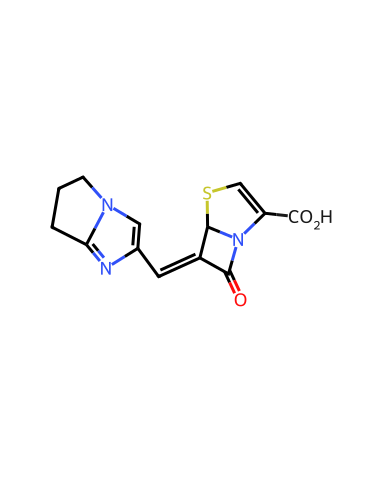 O=C(O)C1=CSC2/C(=C\c3cn4c(n3)CCC4)C(=O)N12